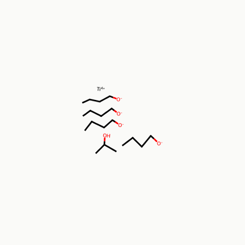 CC(C)O.CCCC[O-].CCCC[O-].CCCC[O-].CCCC[O-].[Ti+4]